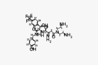 NCCN(CCN)C(=O)CC(N)C(=O)NC(C(=O)NCc1ccc(O)cc1)[C@H](O)c1ccc(C(F)(F)F)cc1